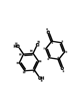 O=C1C=CC(=O)C=C1.Oc1ccc(O)c(Cl)c1